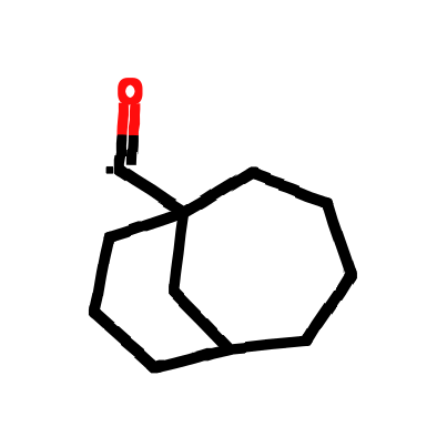 O=[C]C12CCCCC(CCC1)C2